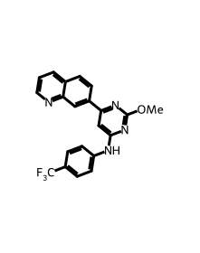 COc1nc(Nc2ccc(C(F)(F)F)cc2)cc(-c2ccc3cccnc3c2)n1